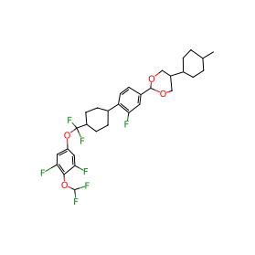 CC1CCC(C2COC(c3ccc(C4CCC(C(F)(F)Oc5cc(F)c(OC(F)F)c(F)c5)CC4)c(F)c3)OC2)CC1